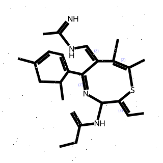 C=C(CC)NC1\N=C(C2=CC=C(C)CC2C)/C(=C\NC(C)=N)C(/C)=C(/C)S/C1=C\C